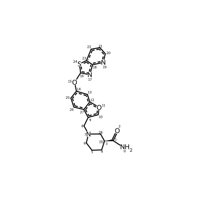 NC(=O)[C@H]1CCCN(Cc2coc3cc(Oc4nc5ncccc5s4)ccc23)C1